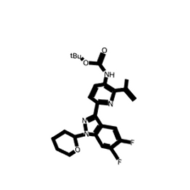 C=C(C)c1nc(-c2nn(C3CCCCO3)c3cc(F)c(F)cc23)ccc1NC(=O)OC(C)(C)C